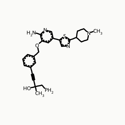 CN1CCC(c2ncc(-c3cnc(N)c(OCc4cccc(C#CC(C)(O)CP)c4)c3)s2)CC1